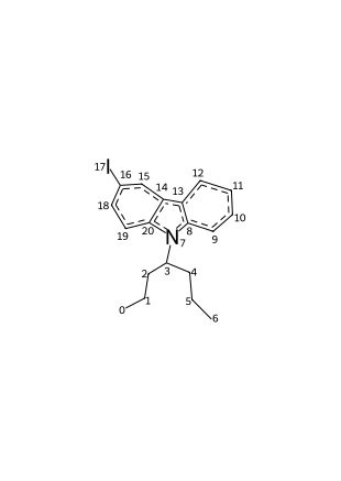 CCCC(CCC)n1c2ccccc2c2cc(I)ccc21